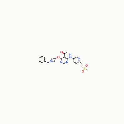 CC(=O)c1c(Nc2ccc(CCS(C)(=O)=O)nc2)ncnc1OC1CN(Cc2ccccc2)C1